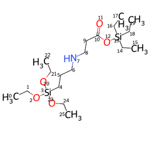 CCO[Si](CCCNCCC(=O)O[Si](CC)(CC)CC)(OCC)OCC